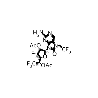 CC(=O)O[C@@H]1[C@@H](F)[C@@H]([C@@H](OC(C)=O)C(F)(F)F)O[C@H]1n1c(=O)n(CC(F)(F)F)c2cnc(N)nc21